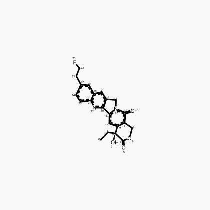 CC[C@@]1(O)C(=O)OCc2c1cc1n(c2=O)Cc2cc3cc(CCF)ccc3nc2-1